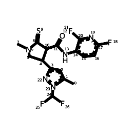 Cc1cc(C2CN(C)C(=S)C2C(=O)Nc2ccc(F)nc2F)nn1C(F)F